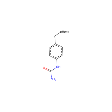 CCCCCCCCc1ccc(NC(N)=O)cc1